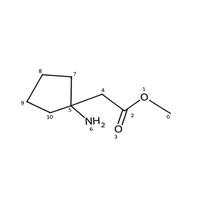 COC(=O)CC1(N)CCCC1